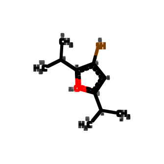 CC(C)c1cc(S)c(C(C)C)o1